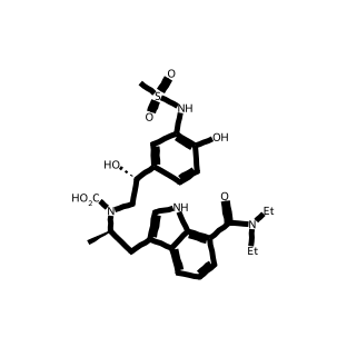 CCN(CC)C(=O)c1cccc2c(C[C@@H](C)N(C[C@H](O)c3ccc(O)c(NS(C)(=O)=O)c3)C(=O)O)c[nH]c12